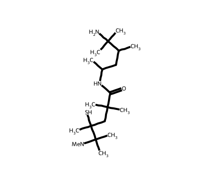 CNC(C)(C)C(C)(S)CC(C)(C)C(=O)NC(C)CC(C)C(C)(C)N